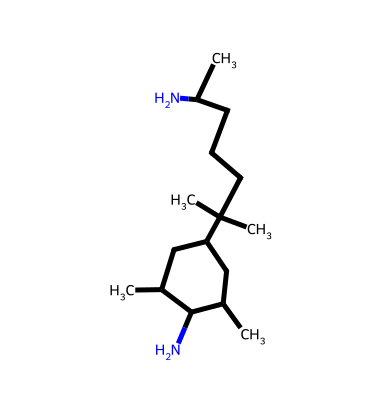 CC(N)CCCC(C)(C)C1CC(C)C(N)C(C)C1